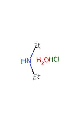 CCNCC.Cl.O